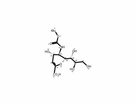 CC(C)(C)OC(=O)N[C@H]1[C@H]([C@H](O)[C@H](O)CO)OC(C(=O)O)=C[C@@H]1O